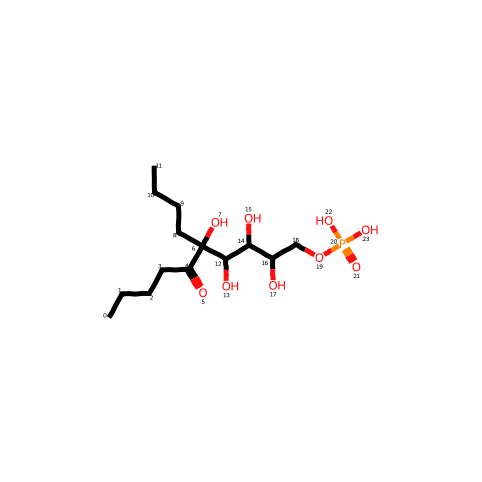 CCCCC(=O)C(O)(CCCC)C(O)C(O)C(O)COP(=O)(O)O